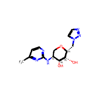 O[C@@H]1[C@H](O)[C@@H](Nc2nccc(C(F)(F)F)n2)CO[C@@H]1Cn1ccnn1